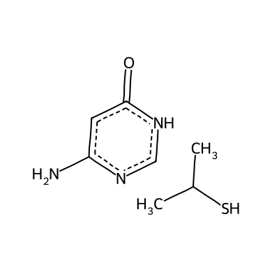 CC(C)S.Nc1cc(=O)[nH]cn1